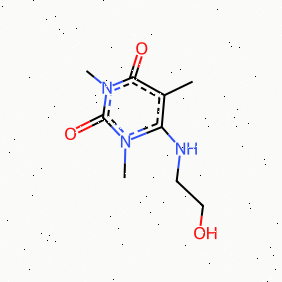 Cc1c(NCCO)n(C)c(=O)n(C)c1=O